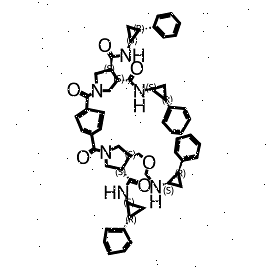 O=C(N[C@H]1C[C@@H]1c1ccccc1)[C@@H]1CN(C(=O)c2ccc(C(=O)N3C[C@@H](C(=O)N[C@H]4C[C@@H]4c4ccccc4)[C@H](C(=O)N[C@H]4C[C@@H]4c4ccccc4)C3)cc2)C[C@H]1COCN[C@H]1C[C@@H]1c1ccccc1